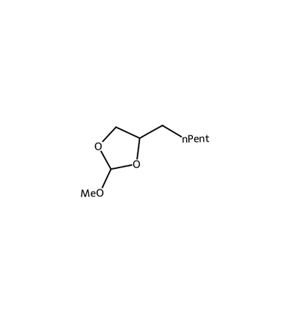 CCCCCCC1COC(OC)O1